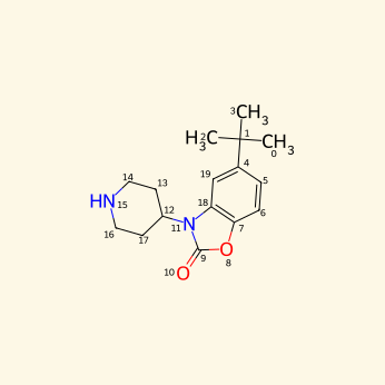 CC(C)(C)c1ccc2oc(=O)n(C3CCNCC3)c2c1